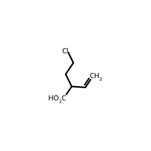 C=CC(CCCl)C(=O)O